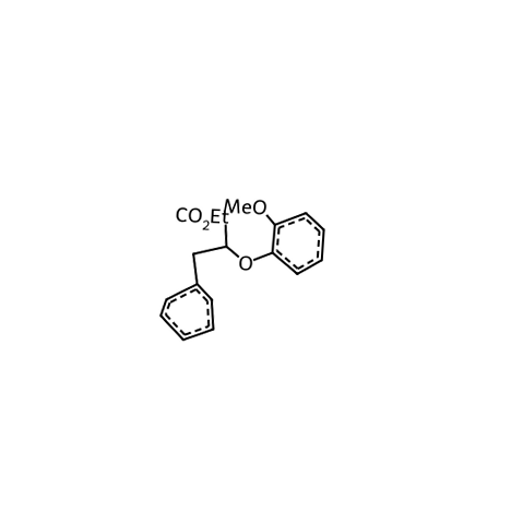 CCOC(=O)C(Cc1ccccc1)Oc1ccccc1OC